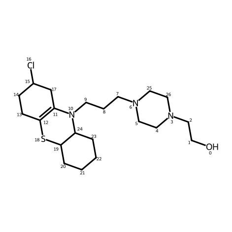 OCCN1CCN(CCCN2C3=C(CCC(Cl)C3)SC3CCCCC32)CC1